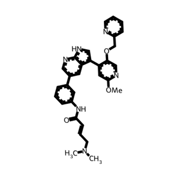 COc1cc(-c2c[nH]c3ncc(-c4cccc(NC(=O)C=CCN(C)C)c4)cc23)c(OCc2ccccn2)cn1